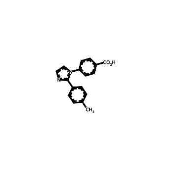 Cc1ccc(-c2nccn2-c2ccc(C(=O)O)cc2)cc1